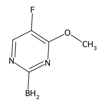 Bc1ncc(F)c(OC)n1